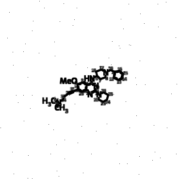 COc1cc2c(NC3CCN(Cc4ccccc4)CC3)nc(N3CCCCC3)nc2cc1C#CCCN(C)C